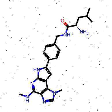 CNc1nc2[nH]c(-c3ccc(CNC(=O)[C@@H](N)CC(C)C)cc3)cc2c2c1ncn2C